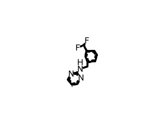 FC(F)c1cccc(CNc2nc[c]cn2)c1